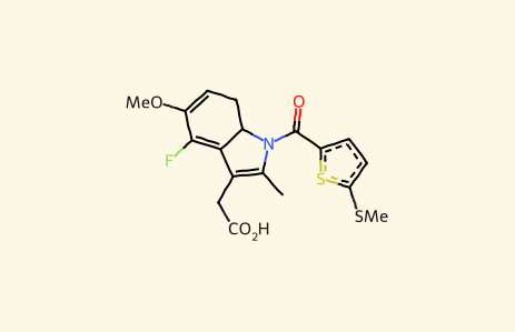 COC1=CCC2C(=C1F)C(CC(=O)O)=C(C)N2C(=O)c1ccc(SC)s1